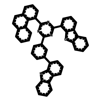 c1cc(-c2nc(-c3cccc4c3oc3ccccc34)nc(-c3cccc4ccc5ccccc5c34)n2)cc(-c2cccc3c2sc2ccccc23)c1